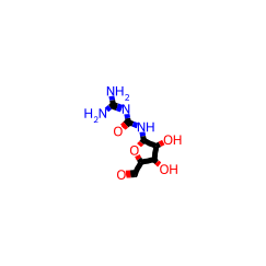 NC(N)=NC(=O)NC1OC(C=O)C(O)C1O